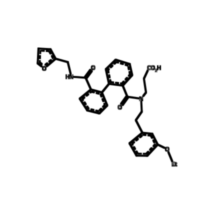 CCOc1cccc(CCN(CCC(=O)O)C(=O)c2ccccc2-c2ccccc2C(=O)NCc2ccco2)c1